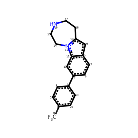 FC(F)(F)c1ccc(-c2ccc3cc4n(c3c2)CCNCC4)cc1